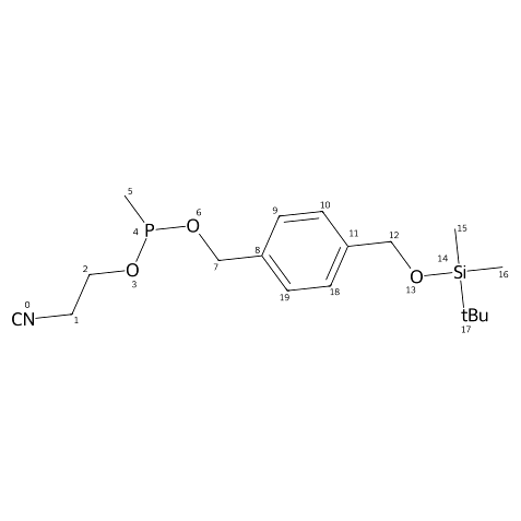 [C-]#[N+]CCOP(C)OCc1ccc(CO[Si](C)(C)C(C)(C)C)cc1